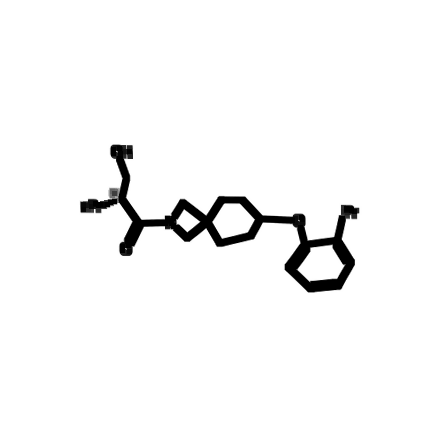 CCC[C@H](CO)C(=O)N1CC2(CCC(Oc3ccccc3C(C)C)CC2)C1